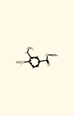 CC(C)(C)OC(=O)c1ccc(C(=O)O)c(CN)c1